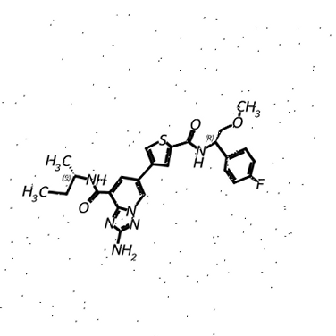 CC[C@H](C)NC(=O)c1cc(-c2csc(C(=O)N[C@@H](COC)c3ccc(F)cc3)c2)cn2nc(N)nc12